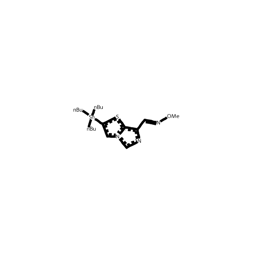 CCC[CH2][Sn]([CH2]CCC)([CH2]CCC)[c]1cn2cnc(C=NOC)c2s1